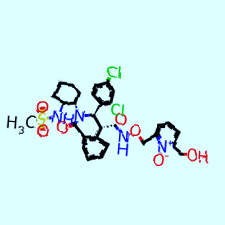 CS(=O)(=O)N[C@H]1CCCC[C@@H]1N1C(=O)c2ccccc2[C@@H](C(=O)NOCc2cccc(CO)[n+]2[O-])[C@@H]1c1ccc(Cl)cc1Cl